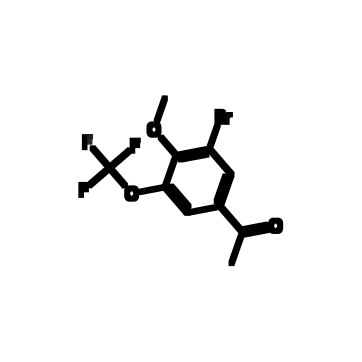 COc1c(Br)cc(C(C)=O)cc1OC(F)(F)F